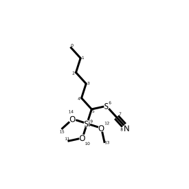 CCCCCC(SC#N)[Si](OC)(OC)OC